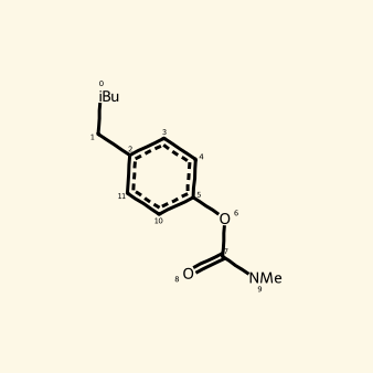 CCC(C)Cc1ccc(OC(=O)NC)cc1